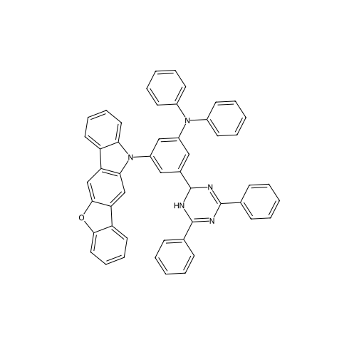 c1ccc(C2=NC(c3cc(N(c4ccccc4)c4ccccc4)cc(-n4c5ccccc5c5cc6oc7ccccc7c6cc54)c3)NC(c3ccccc3)=N2)cc1